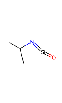 CC(C)N=[Si]=O